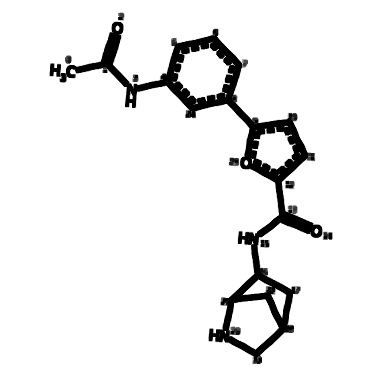 CC(=O)Nc1cccc(-c2ccc(C(=O)NC3CC4CNC3C4)o2)c1